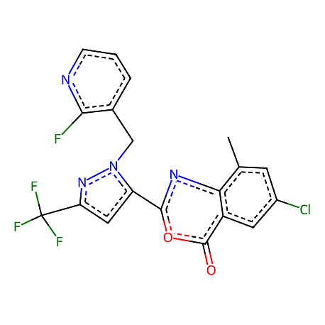 Cc1cc(Cl)cc2c(=O)oc(-c3cc(C(F)(F)F)nn3Cc3cccnc3F)nc12